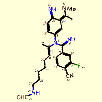 CN/C(C)=C1/C=C(N(C(=N)c2ccc(C#N)c(F)c2)/C(C)=C/CCCCCNC=O)C=CC1=N